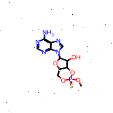 COP1(=S)OCC2OC(n3cnc4c(N)ncnc43)C(O)C2O1